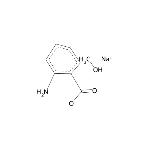 CO.Nc1ccccc1C(=O)[O-].[Na+]